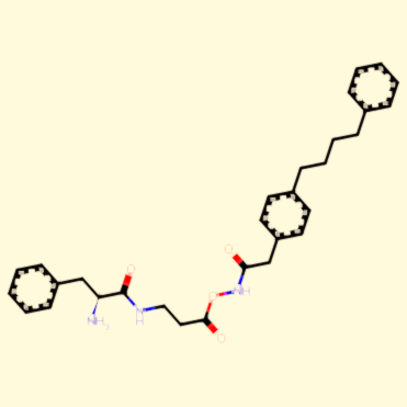 N[C@@H](Cc1ccccc1)C(=O)NCCC(=O)ONC(=O)Cc1ccc(CCCCc2ccccc2)cc1